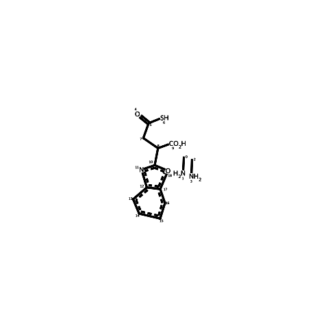 CN.CN.O=C(S)CC(C(=O)O)c1nc2ccccc2o1